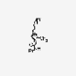 CC(C)NC(=O)CN1CCN(CCCOC(C)C)CC1C(F)(F)F